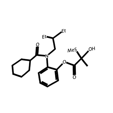 CCC(CC)CN(C(=O)C1CCCCC1)c1ccccc1OC(=O)C(C)(O)SC